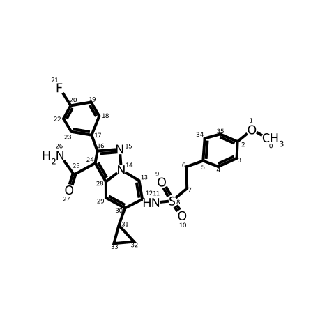 COc1ccc(CCS(=O)(=O)Nc2cn3nc(-c4ccc(F)cc4)c(C(N)=O)c3cc2C2CC2)cc1